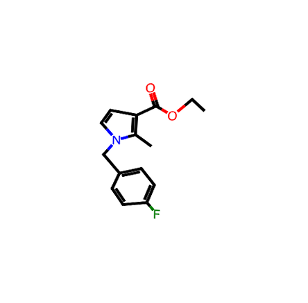 CCOC(=O)c1ccn(Cc2ccc(F)cc2)c1C